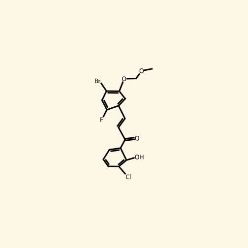 COCOc1cc(/C=C/C(=O)c2cccc(Cl)c2O)c(F)cc1Br